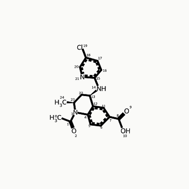 CC(=O)N1c2ccc(C(=O)O)cc2[C@H](Nc2ccc(Cl)cn2)C[C@@H]1C